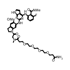 CNC(=O)c1c(F)cccc1Nc1nc(Nc2cc3c(cc2OC)CCN3C(=O)CN(C)C(=O)CCOCCOCCOCCOCCC(N)=O)nc2[nH]ccc12